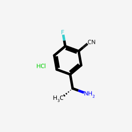 C[C@@H](N)c1ccc(F)c(C#N)c1.Cl